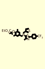 CCOC(=O)C(C)(C)Oc1c(C)cc(CN(Cc2ccsc2)c2sc(-c3ccc(C(F)(F)F)cc3)nc2C)cc1C